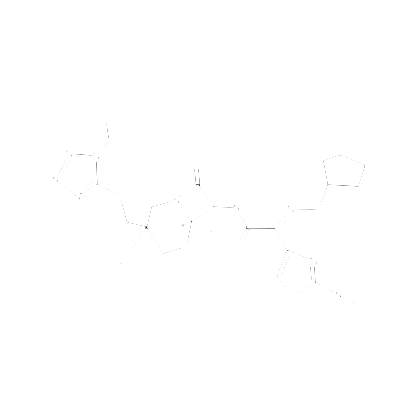 Nc1nc(C(=NOC2CCCC2)C(=O)NC2C(=O)N3CC(CSc4nnnn4CC(=O)O)(C(=O)O)CS[C@H]23)cs1